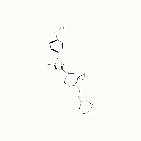 Cc1cc(N2CCN(CCN3CCOCC3)C3(CC3)C2)nn1-c1ccc(OC(F)(F)F)cc1